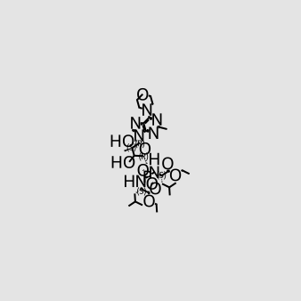 CCOC(=O)[C@H](CC(C)C)NP(=O)(N[C@@H](CC(C)C)C(=O)OCC)OC[C@H]1O[C@@H](n2cnc3c(N4CCOCC4)nc(C)nc32)[C@@](C)(O)C1O